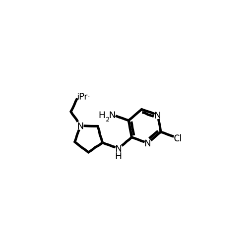 C[C](C)CN1CCC(Nc2nc(Cl)ncc2N)C1